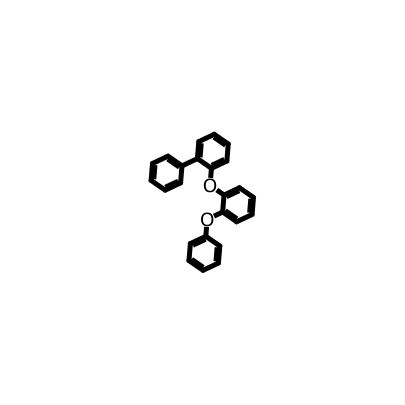 c1ccc(Oc2ccccc2Oc2ccccc2-c2ccccc2)cc1